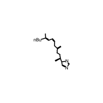 C=C(C/C=C\C=C(/C)CCCC)CCC(=C)C1C=NC=N1